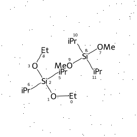 CCO[Si](OCC)(C(C)C)C(C)C.CO[Si](OC)(C(C)C)C(C)C